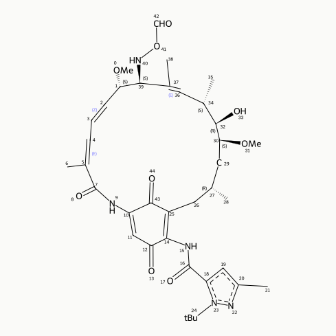 CO[C@H]1/C=C\C=C(/C)C(=O)NC2=CC(=O)C(NC(=O)c3cc(C)nn3C(C)(C)C)=C(C[C@@H](C)C[C@H](OC)[C@H](O)[C@@H](C)/C=C(\C)[C@@H]1NOC=O)C2=O